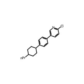 CCCC1CCC(c2ccc(-c3ccc(Cl)nc3)cc2)CC1